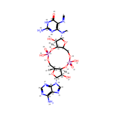 C=Nc1c(N(C)[C@@H]2OC3COP(=O)(O)O[C@H]4[C@@H](O)[C@H](n5cnc6c(N)ncnc65)O[C@@H]4COP(=O)(O)O[C@H]3[C@H]2O)nc(N)[nH]c1=O